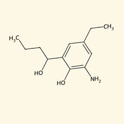 CCCC(O)c1cc(CC)cc(N)c1O